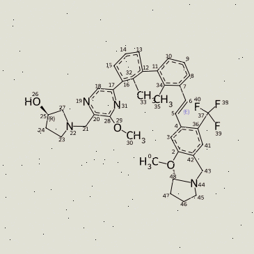 COc1cc(/C=C/c2cccc(-c3cccc(-c4cnc(CN5CC[C@@H](O)C5)c(OC)n4)c3C)c2C)c(C(F)(F)F)cc1CN1CCCC1